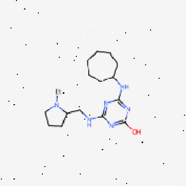 CCN1CCCC1CNc1nc(O)nc(NC2CCCCCC2)n1